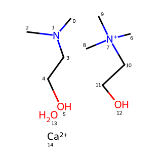 CN(C)CCO.C[N+](C)(C)CCO.O.[Ca+2]